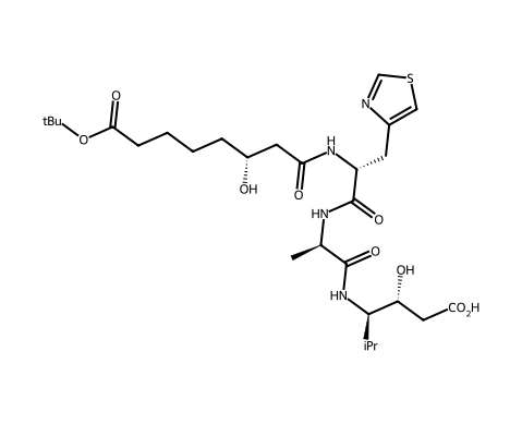 CC(C)[C@@H](NC(=O)[C@@H](C)NC(=O)[C@@H](Cc1cscn1)NC(=O)C[C@H](O)CCCCC(=O)OC(C)(C)C)[C@H](O)CC(=O)O